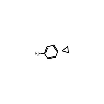 C1CC1.Nc1ccccc1